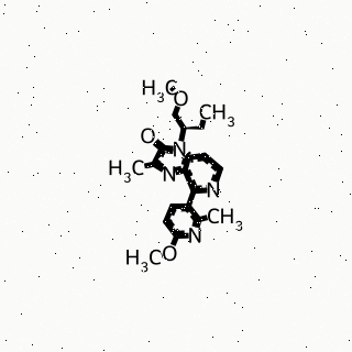 CC[C@H](COC)n1c(=O)c(C)nc2c(-c3ccc(OC)nc3C)nccc21